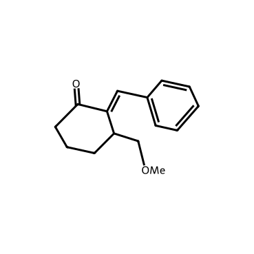 COCC1CCCC(=O)C1=Cc1ccccc1